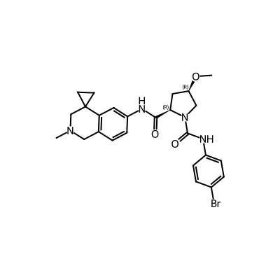 CO[C@@H]1C[C@H](C(=O)Nc2ccc3c(c2)C2(CC2)CN(C)C3)N(C(=O)Nc2ccc(Br)cc2)C1